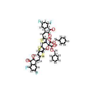 O=C1C(=O)c2c(F)cc(F)cc2/C1=C/c1cc2c(s1)-c1sc3cc(/C=C4\C(=O)C(=O)c5c(F)cc(F)cc54)sc3c1OC2(C(=O)OCc1ccccc1)C(=O)OCc1ccccc1